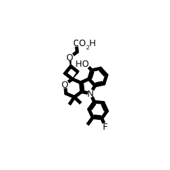 Cc1cc(-n2c3c(c4c(O)cccc42)[C@]2(C[C@H](OCC(=O)O)C2)OCC3(C)C)ccc1F